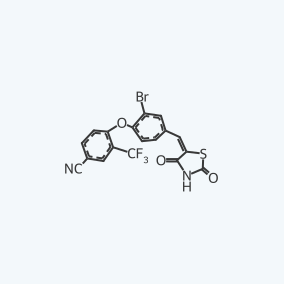 N#Cc1ccc(Oc2ccc(C=C3SC(=O)NC3=O)cc2Br)c(C(F)(F)F)c1